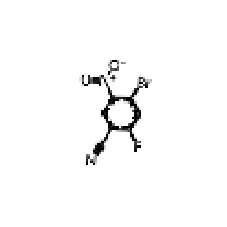 N#Cc1cc([N+](=O)[O-])c(Br)cc1F